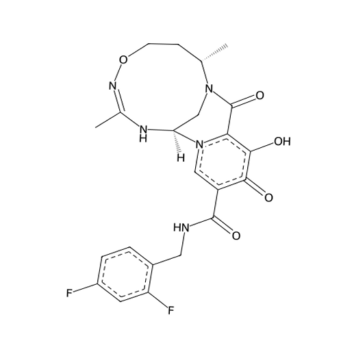 C/C1=N/OCC[C@H](C)N2C[C@H](N1)n1cc(C(=O)NCc3ccc(F)cc3F)c(=O)c(O)c1C2=O